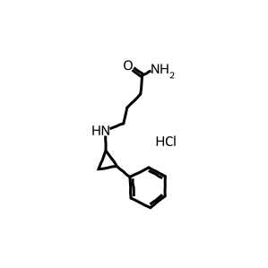 Cl.NC(=O)CCCNC1CC1c1ccccc1